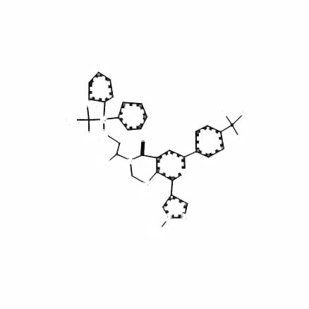 CC(CO[Si](c1ccccc1)(c1ccccc1)C(C)(C)C)N1CNc2c(cc(-c3ccc(C(F)(F)F)cc3)nc2-c2cnn(C)c2)C1=O